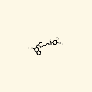 CCc1nc2c(N)nc3ccccc3c2n1CCCCNC(=O)c1ccc(N)c(OC)c1